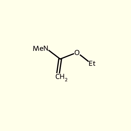 C=C(NC)OCC